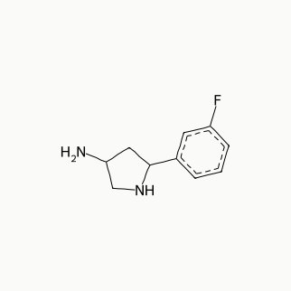 NC1CNC(c2cccc(F)c2)C1